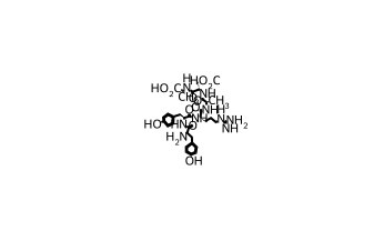 C[C@H](NC(=O)[C@H](CC(=O)O)NC(=O)[C@H](C)NC(=O)[C@H](CCCNC(=N)N)NC(=O)[C@H](Cc1ccc(O)cc1)NC(=O)[C@@H](N)Cc1ccc(O)cc1)C(=O)O